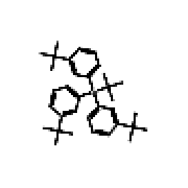 CC(C)(C)c1cccc([Si](c2cccc(C(C)(C)C)c2)(c2cccc(C(C)(C)C)c2)C(C)(C)C)c1